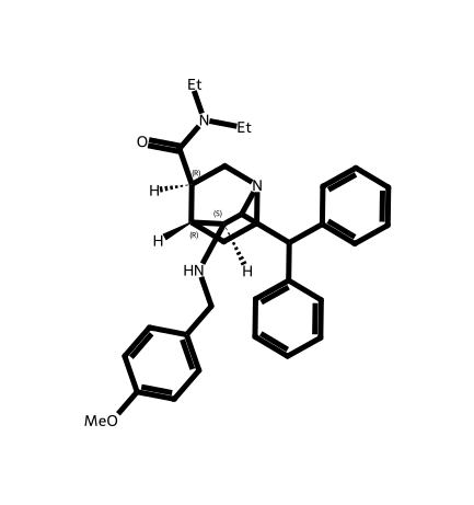 CCN(CC)C(=O)[C@H]1CN2CC[C@H]1[C@H](NCc1ccc(OC)cc1)C2C(c1ccccc1)c1ccccc1